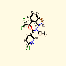 CN(C(=O)c1ccc(Cl)nc1)c1nsc2cccc(CC(F)F)c12